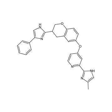 Cc1c[nH]c(-c2cc(Oc3ccc4c(c3)CC(c3nc(-c5ccccc5)c[nH]3)CO4)ccn2)n1